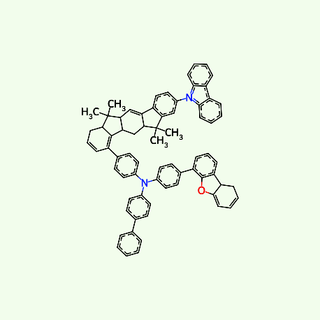 CC1(C)c2cc(-n3c4ccccc4c4ccccc43)ccc2C2=CC3C(CC21)C1=C(c2ccc(N(c4ccc(-c5ccccc5)cc4)c4ccc(-c5cccc6c5OC5=CC=CCC56)cc4)cc2)C=CCC1C3(C)C